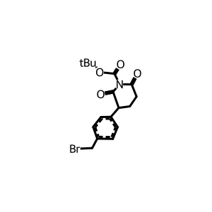 CC(C)(C)OC(=O)N1C(=O)CCC(c2ccc(CBr)cc2)C1=O